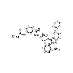 COC(=O)Cc1cccc(C(=O)Nc2ccc(-n3c(-c4cccnc4N)nc4ccc(-c5ccccc5)nc43)cn2)c1